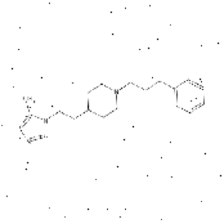 Cc1cncn1CCC1CCN(CCCc2ccccc2)CC1